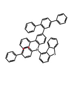 c1ccc(-c2ccc(N(c3ccc(-c4cc(-c5ccccc5)ccc4-c4ccccc4)cc3-c3ccccc3)c3cccc4sc5ccccc5c34)cc2)cc1